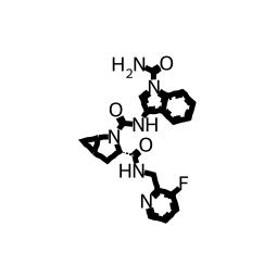 NC(=O)n1cc(NC(=O)N2C3CC3C[C@H]2C(=O)NCc2ncccc2F)c2ccccc21